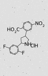 Cl.O=C(O)c1ccc([N+](=O)[O-])cc1C1CNC(c2cc(F)ccc2F)C1